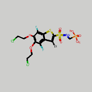 CCc1c(S(=O)(=O)NCP(=O)(O)O)sc2c(F)c(OCCCl)c(OCCCl)c(F)c12